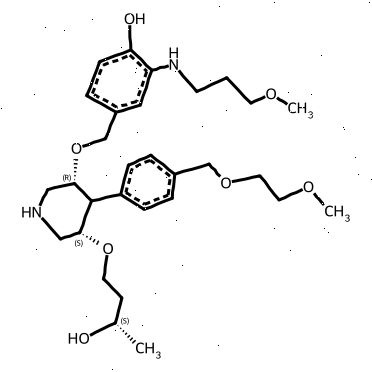 COCCCNc1cc(CO[C@H]2CNC[C@@H](OCC[C@H](C)O)C2c2ccc(COCCOC)cc2)ccc1O